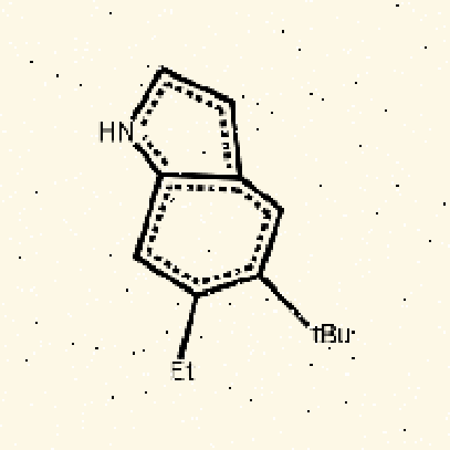 CCc1cc2[nH]ccc2cc1C(C)(C)C